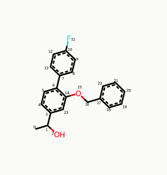 CC(O)c1ccc(-c2ccc(F)cc2)c(OCc2ccccc2)c1